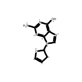 Nc1nc(O)c2ncn(C3CC=CO3)c2n1